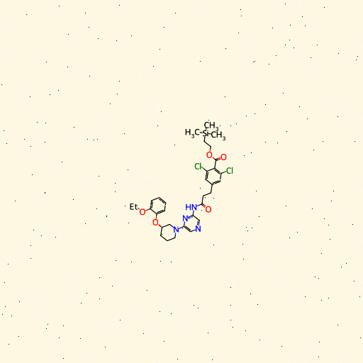 CCOc1ccccc1O[C@@H]1CCCN(c2cncc(NC(=O)CCc3cc(Cl)c(C(=O)OCC[Si](C)(C)C)c(Cl)c3)n2)C1